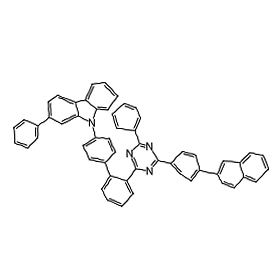 c1ccc(-c2ccc3c4ccccc4n(-c4ccc(-c5ccccc5-c5nc(-c6ccccc6)nc(-c6ccc(-c7ccc8ccccc8c7)cc6)n5)cc4)c3c2)cc1